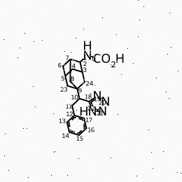 O=C(O)NC1C2CC3CC1CC(C(Cc1ccccc1)c1nnn[nH]1)(C3)C2